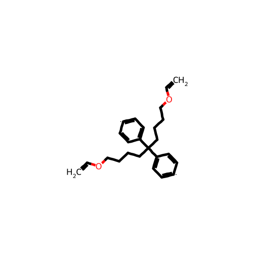 C=COCCCCC(CCCCOC=C)(c1cc[c]cc1)c1cc[c]cc1